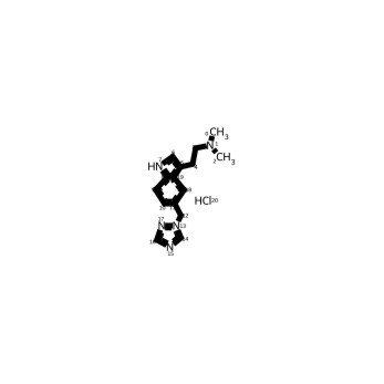 CN(C)CCc1c[nH]c2ccc(Cn3cncn3)cc12.Cl